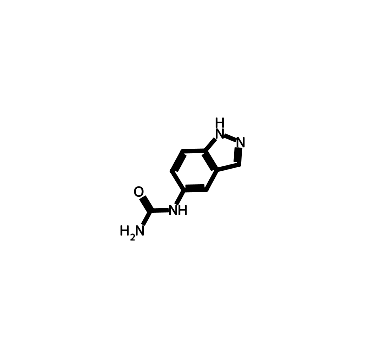 NC(=O)Nc1ccc2[nH]ncc2c1